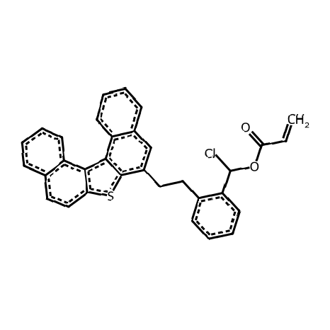 C=CC(=O)OC(Cl)c1ccccc1CCc1cc2ccccc2c2c1sc1ccc3ccccc3c12